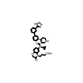 COCCCN1C(=O)COc2ccc(N(C(=O)[C@H]3CNCC[C@@H]3c3cccc(-c4cccc(-c5nnn[nH]5)c4)c3)C3CC3)cc21